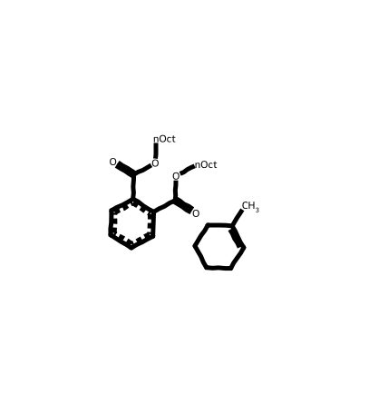 CC1=CCCCC1.CCCCCCCCOC(=O)c1ccccc1C(=O)OCCCCCCCC